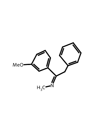 C/N=C(/Cc1ccccc1)c1cccc(OC)c1